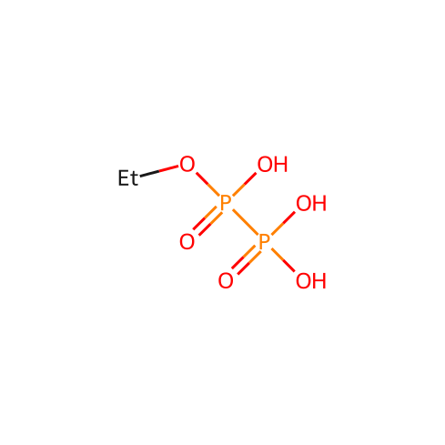 CCOP(=O)(O)P(=O)(O)O